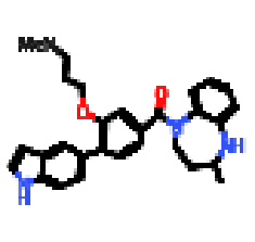 CNCCCOc1cc(C(=O)N2CCC(C)Nc3ccccc32)ccc1-c1ccc2[nH]ccc2c1